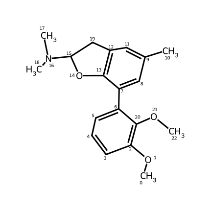 COc1cccc(-c2cc(C)cc3c2OC(N(C)C)C3)c1OC